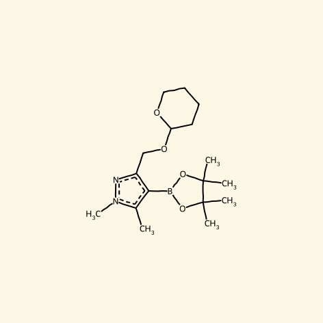 Cc1c(B2OC(C)(C)C(C)(C)O2)c(COC2CCCCO2)nn1C